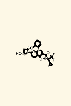 O=C(N[C@H](C1CC1)C(F)(F)F)c1cn(-c2ccccc2Cl)c2nc(N3C[C@@H](O)CC3=O)ccc2c1=O